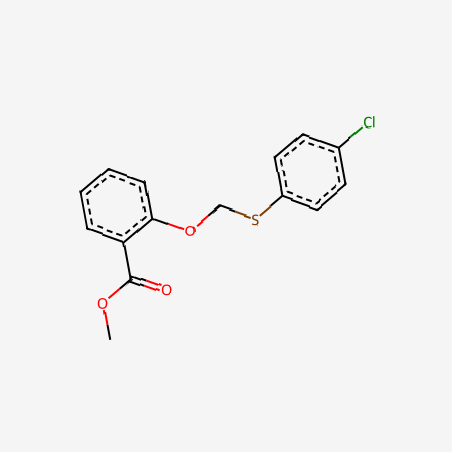 COC(=O)c1ccccc1OCSc1ccc(Cl)cc1